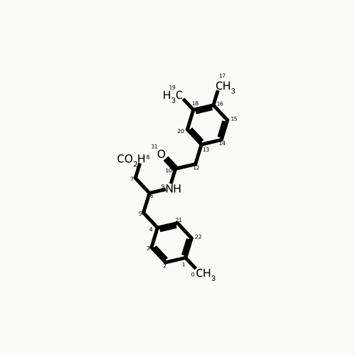 Cc1ccc(CC(CC(=O)O)NC(=O)Cc2ccc(C)c(C)c2)cc1